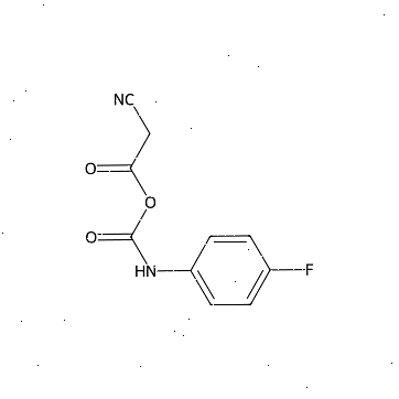 N#CCC(=O)OC(=O)Nc1ccc(F)cc1